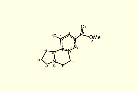 COC(=O)c1cc(F)c2c(c1)CCN1CCCC21